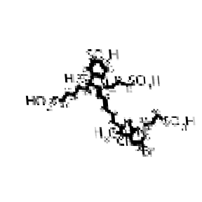 CC1(C)C(/C=C/C=C/C=C2\N(CCCS(=O)(=O)O)c3ccc(S(=O)(=O)O)cc3C2(C)CCCCCC(=O)O)=Nc2c1cc(Br)c[n+]2CCCS(=O)(=O)O